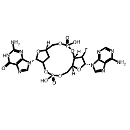 Nc1nc2c(ncn2[C@@H]2O[C@@H]3COP(=O)(O)O[C@@H]4C(F)[C@H](n5cnc6c(N)ncnc65)O[C@@H]4COP(=O)(O)OC2C3)c(=O)[nH]1